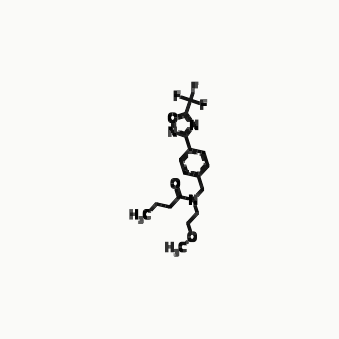 CCCC(=O)N(CCOC)Cc1ccc(-c2noc(C(F)(F)F)n2)cc1